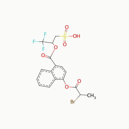 CC(Br)C(=O)Oc1ccc(C(=O)OC(CS(=O)(=O)O)C(F)(F)F)c2ccccc12